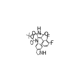 CC(C)(C)OC(=O)N(C1=C(c2cccc(F)c2F)C(=O)NC1=O)c1ccc2c(c1)CCN2